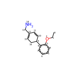 CCOc1ccccc1C1[C]=CC(CN)=CC1